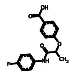 CC(Oc1ccc(C(=O)O)cc1)C(=O)Nc1ccc(F)cc1